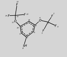 FC(F)(F)Oc1cc(S)cc(OC(F)(F)F)c1